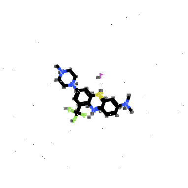 CN1CCN(c2cc(C(F)(F)F)c3nc4ccc(N(C)C)cc4[s+]c3c2)CC1.[I-]